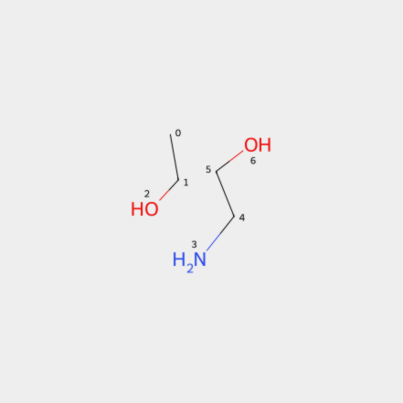 CCO.NCCO